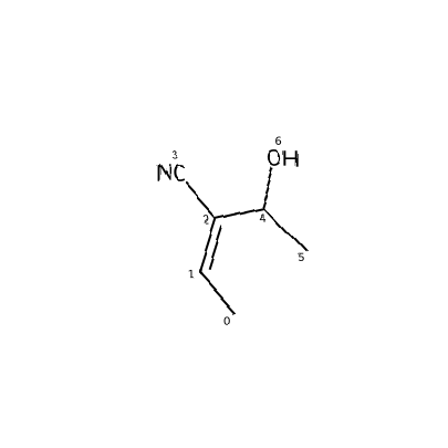 CC=C(C#N)C(C)O